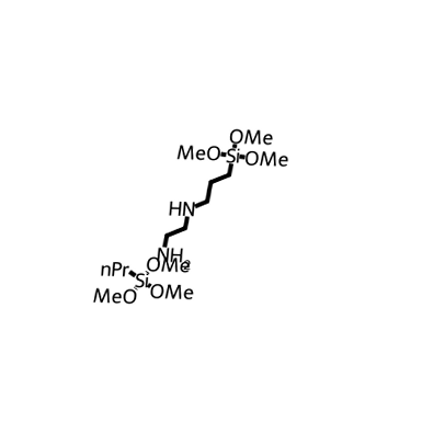 CCC[Si](OC)(OC)OC.CO[Si](CCCNCCN)(OC)OC